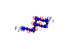 Cc1cc(=O)n(CCc2cc(=O)n(CCc3cc(=O)n(C)c4c3CN(C(=O)CC3CN(c5ccnc(C(F)(F)F)n5)C3)C4)c3c2CN(C(=O)CC2CN(c4ccnc(C5CC5)c4)C2)C3)c2c1CN(C(=O)CC1CN(c3cnc(C(F)(F)F)nc3)C1)C2